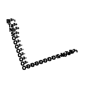 [Bi+3].[Bi+3].[Nb+5].[Nb+5].[O-2].[O-2].[O-2].[O-2].[O-2].[O-2].[O-2].[O-2].[O-2].[O-2].[O-2].[O-2].[O-2].[O-2].[O-2].[Sr+2].[Sr+2].[Ta+5].[Ta+5]